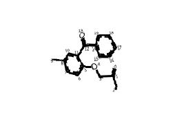 C=C(C)COc1ccc(C)cc1C(=O)c1ccccc1